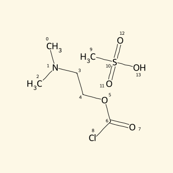 CN(C)CCOC(=O)Cl.CS(=O)(=O)O